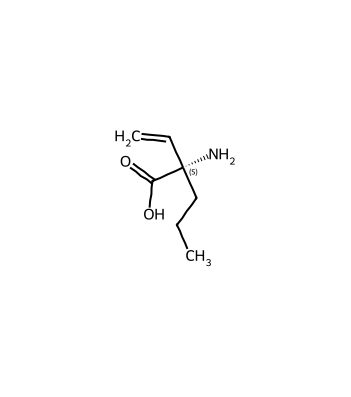 C=C[C@@](N)(CCC)C(=O)O